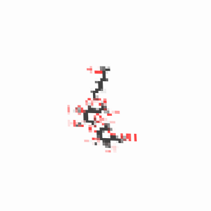 CC(O)CC=CCC(=O)O[C@@H]1C(CO)O[C@@H](O[C@H]2C(O)[C@H](O)C(CO)O[C@H]2O)[C@@H](O)C1O